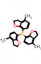 Cc1ccc(P(c2ccc(C)c3c2OCC3)c2ccc(C)c3c2OCC3)c2c1CCO2